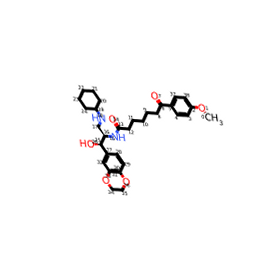 COc1ccc(C(=O)CCCCCC(=O)N[C@H](CNC2CCCCC2)[C@H](O)c2ccc3c(c2)OCCO3)cc1